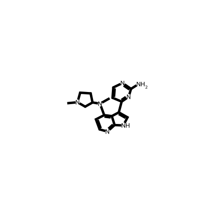 CN1CCC(N(C)c2ccnc3[nH]cc(-c4ccnc(N)n4)c23)C1